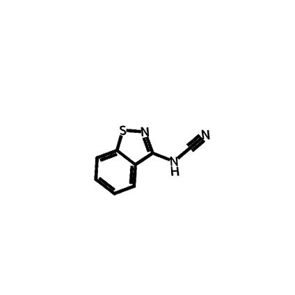 N#CNc1nsc2ccccc12